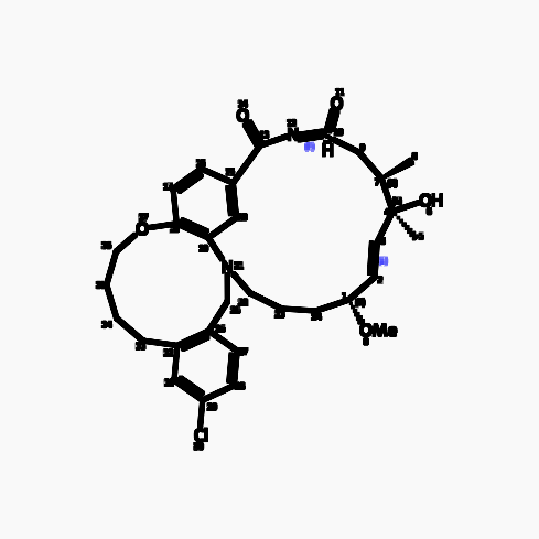 CO[C@H]1/C=C/[C@](C)(O)[C@H](C)C/[SH](=O)=N\C(=O)c2ccc3c(c2)N(CCC1)Cc1ccc(Cl)cc1CCCCO3